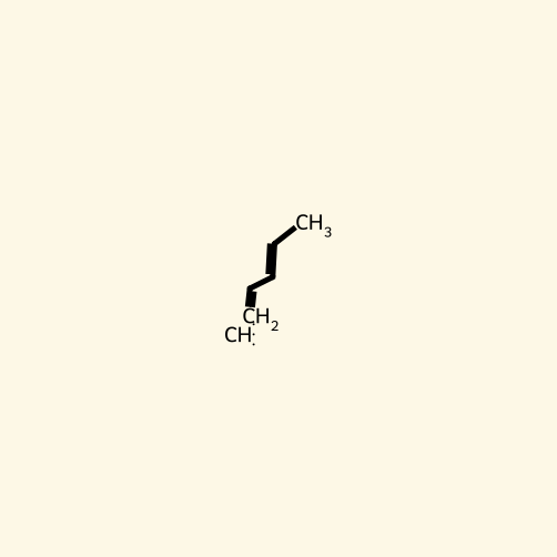 C=CC=CC.[CH]